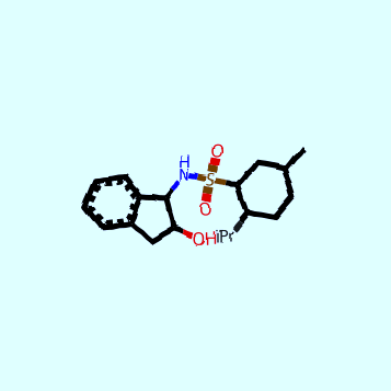 CC1CCC(C(C)C)C(S(=O)(=O)NC2c3ccccc3CC2O)C1